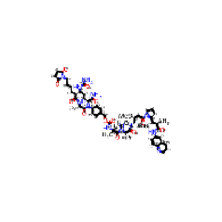 CC[C@H](C)[C@@H]([C@@H](CC(=O)N1CCC[C@H]1[C@H](OC)[C@@H](C)C(=O)Nc1ccc2ncccc2c1)OC)N(C)C(=O)[C@@H](NC(=O)C(C)(C)NC(=O)OCc1ccc(N(C(=O)[C@@H](NC(=O)CCCCCN2C(=O)C=CC2=O)C(C)C)[C@@H](CCCNC(N)=O)C(N)=O)cc1)C(C)C